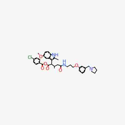 COc1ccc2[nH]c(C)c(C(C(=O)OC(=O)c3ccc(Cl)cc3)C(C)CC(=O)NCCCOc3cccc(CN4CCCC4)c3)c2c1